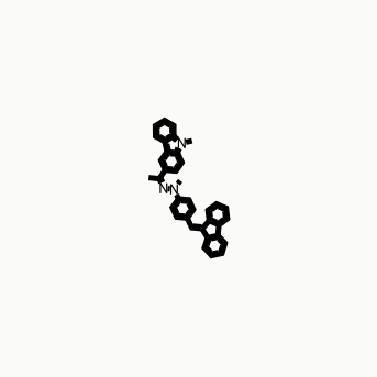 C/C(=N/N(C)c1ccc(C=C2c3ccccc3-c3ccccc32)cc1)c1ccc2c(c1)c1ccccc1n2C